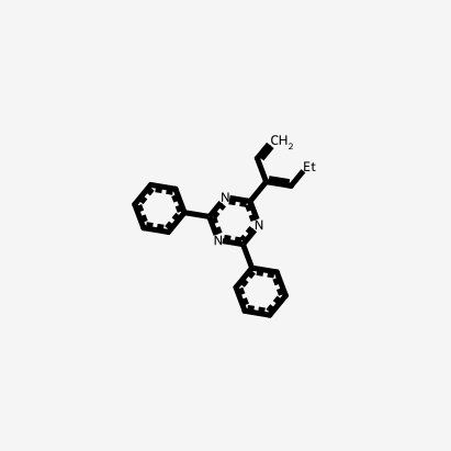 C=C/C(=C\CC)c1nc(-c2ccccc2)nc(-c2ccccc2)n1